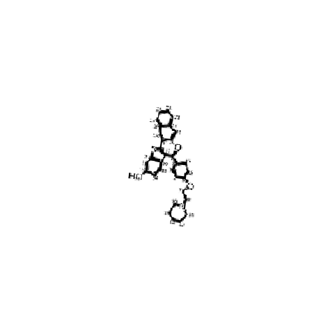 O=C(c1ccc(OCCN2CCCCC2)cc1)c1c(-c2ccc3ccccc3c2)sc2cc(O)ccc12